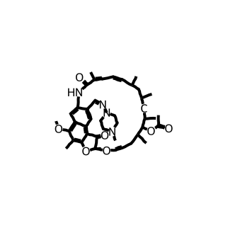 COc1c(C)c2c3c4cc(C=NN5CCN(C)CC5)c(cc14)NC(=O)C(C)=CC=CC(C)CC(C)CC(C)C(OC(C)=O)C(C)CC=COC(C)(O2)C3=O